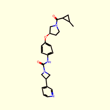 CC1CC1C(=O)N1CC[C@@H](Oc2ccc(NC(=O)N3CC(c4cccnc4)C3)cc2)C1